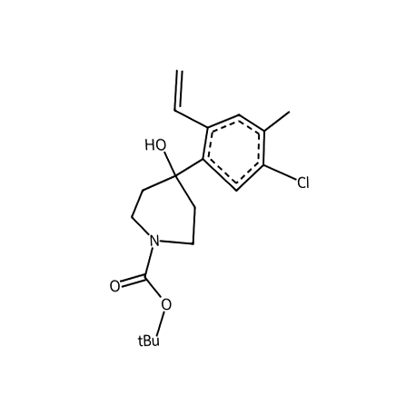 C=Cc1cc(C)c(Cl)cc1C1(O)CCN(C(=O)OC(C)(C)C)CC1